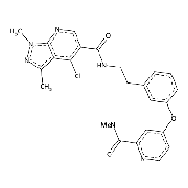 CNC(=O)c1cc(Oc2cccc(CCNC(=O)c3cnc4c(c(C)nn4C)c3Cl)c2)ccn1